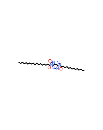 CCCCCCCCCCCCCCCCCC(=O)n1c2ncnc3c(ncn3C(=O)CCCCCCCCCCCCC)c-2nc1=O